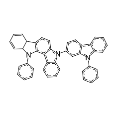 C1=CC2c3ccc4c(c3N(c3ccccc3)C2C=C1)c1ccccc1n4-c1ccc2c3ccccc3n(-c3ccccc3)c2c1